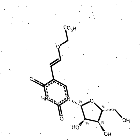 O=C(O)COC=Cc1cn([C@@H]2O[C@H](CO)[C@@H](O)[C@H]2O)c(=O)[nH]c1=O